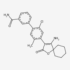 Cc1cc(-c2cccc(C(N)=O)c2)c(Cl)cc1C1=C(N)C2(CCCCC2)OC1=O